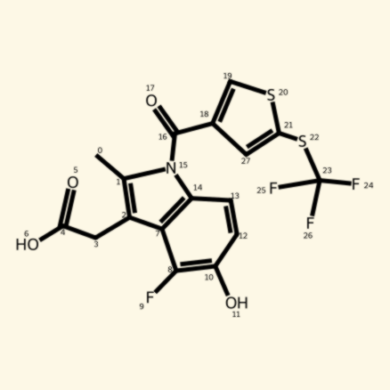 Cc1c(CC(=O)O)c2c(F)c(O)ccc2n1C(=O)c1csc(SC(F)(F)F)c1